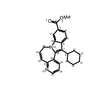 COC(=O)c1ccc2c(C3CCCCC3)c3n(c2c1)CC=Cc1ncccc1-3